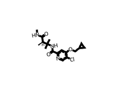 CNC(=O)[C@H](C)C(C)(C)NC(=O)c1cc(OCC2CC2)c(Cl)cn1